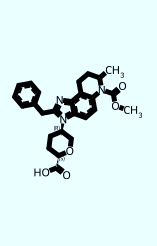 COC(=O)N1c2ccc3c(nc(Cc4ccccc4)n3[C@@H]3CC[C@@H](C(=O)O)OC3)c2CCC1C